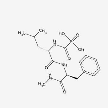 CNC(=O)[C@H](Cc1ccccc1)NC(=O)[C@H](CC(C)C)NC(=O)P(=O)(O)O